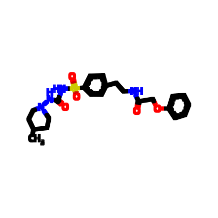 CC1CCN(NC(=O)NS(=O)(=O)c2ccc(CCNC(=O)COc3ccccc3)cc2)CC1